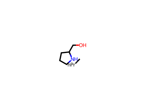 CCCC.OCC1CCCN1